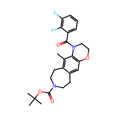 Cc1c2c(cc3c1N(C(=O)c1cccc(F)c1F)CCO3)CCN(C(=O)OC(C)(C)C)CC2